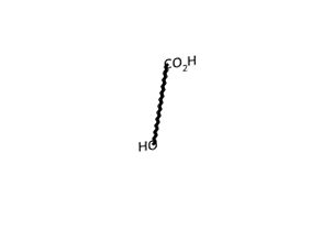 O=C(O)C/C=C/CCCCCCCCCCCCCCCCCCCCCO